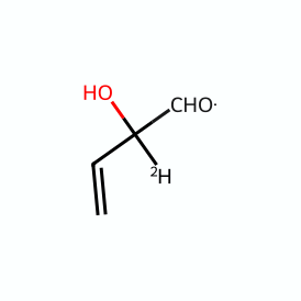 [2H]C(O)([C]=O)C=C